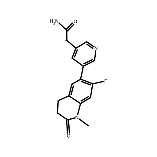 CN1C(=O)CCc2cc(-c3cncc([CH]C(N)=O)c3)c(F)cc21